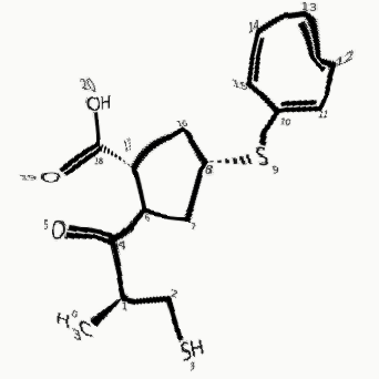 C[C@H](CS)C(=O)C1C[C@@H](Sc2ccccc2)C[C@H]1C(=O)O